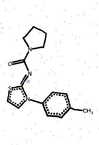 Cc1ccc(-n2ccs/c2=N\C(=O)N2CCCC2)cc1